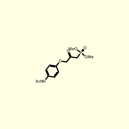 COP(=O)(CC(=O)COc1ccc(NC(C)=O)cc1)OC